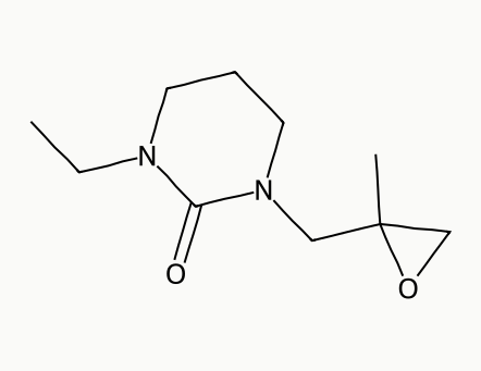 CCN1CCCN(CC2(C)CO2)C1=O